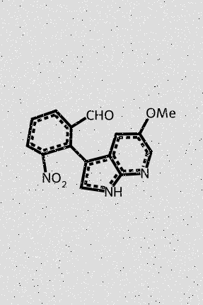 COc1cnc2[nH]cc(-c3c(C=O)cccc3[N+](=O)[O-])c2c1